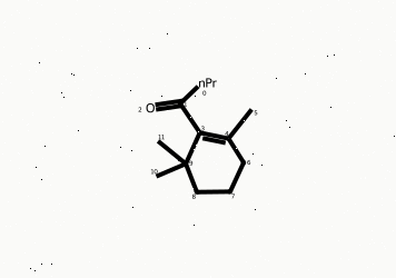 CCCC(=O)C1=C(C)CCCC1(C)C